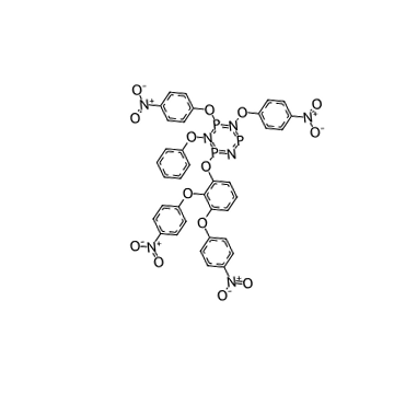 O=[N+]([O-])c1ccc(Oc2cccc(Op3npn(Oc4ccc([N+](=O)[O-])cc4)p(Oc4ccc([N+](=O)[O-])cc4)n3Oc3ccccc3)c2Oc2ccc([N+](=O)[O-])cc2)cc1